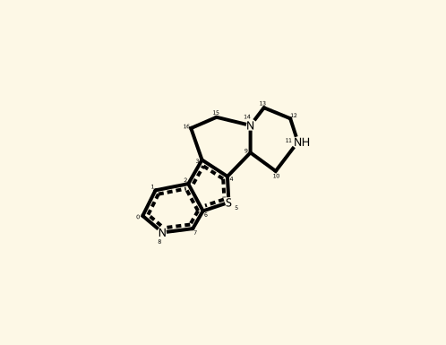 c1cc2c3c(sc2cn1)C1CNCCN1CC3